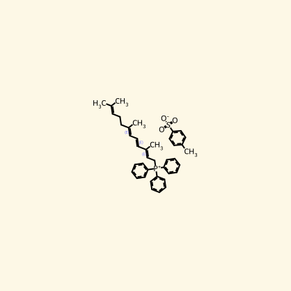 CC(C)=CCC/C(C)=C/C=C/C(C)=C/C[P+](c1ccccc1)(c1ccccc1)c1ccccc1.Cc1ccc(S(=O)(=O)[O-])cc1